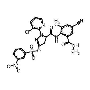 CNC(=O)c1cc(C#N)cc(C)c1NC(=O)C1CC(OS(=O)(=O)c2cccc([N+](=O)[O-])c2)=NN1c1ncccc1Cl